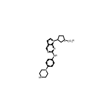 O=C(O)[C@@H]1CCC(n2ccc3cnc(Nc4ccc(N5CCNCC5)cc4)nc32)C1